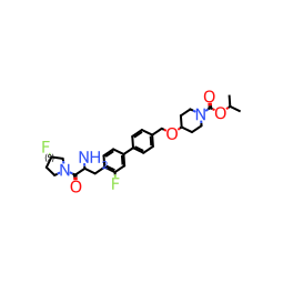 CC(C)OC(=O)N1CCC(OCc2ccc(-c3ccc(CC(N)C(=O)N4CC[C@H](F)C4)c(F)c3)cc2)CC1